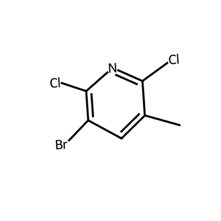 Cc1cc(Br)c(Cl)nc1Cl